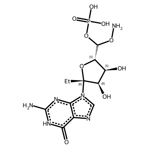 CC[C@@]1(n2cnc3c(=O)[nH]c(N)nc32)O[C@H](C(ON)OP(=O)(O)O)[C@@H](O)[C@H]1O